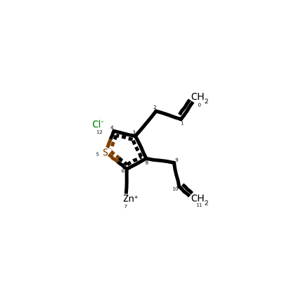 C=CCc1cs[c]([Zn+])c1CC=C.[Cl-]